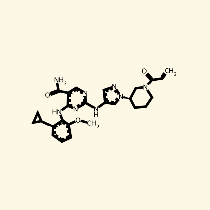 C=CC(=O)N1CCC[C@@H](n2cc(Nc3ncc(C(N)=O)c(Nc4c(OC)cccc4C4CC4)n3)cn2)C1